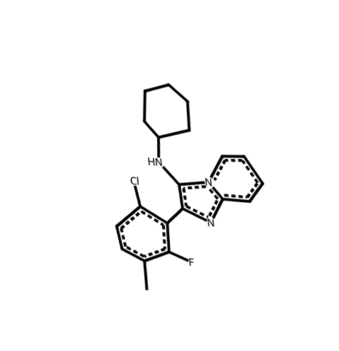 Cc1ccc(Cl)c(-c2nc3ccccn3c2NC2CCCCC2)c1F